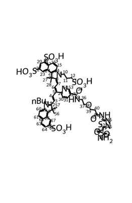 CCCC[N+]1=C(/C=C/C(=C/C=C2/N(CCCS(=O)(=O)O)c3ccc4c(S(=O)(=O)O)cc(S(=O)(=O)O)cc4c3C2(C)C)c2ccc(C(=O)NCCOCCC(=O)Nc3nnc(S(N)(=O)=O)s3)cn2)C(C)(C)c2c1ccc1ccc(S(=O)(=O)O)cc21